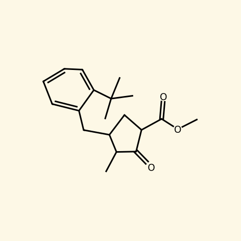 COC(=O)C1CC(Cc2ccccc2C(C)(C)C)C(C)C1=O